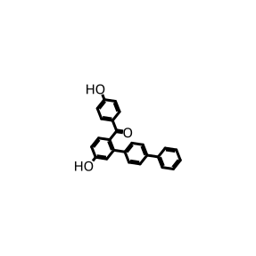 O=C(c1ccc(O)cc1)c1ccc(O)cc1-c1ccc(-c2ccccc2)cc1